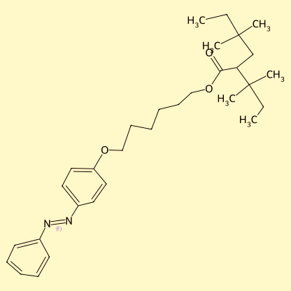 CCC(C)(C)CC(C(=O)OCCCCCCOc1ccc(/N=N/c2ccccc2)cc1)C(C)(C)CC